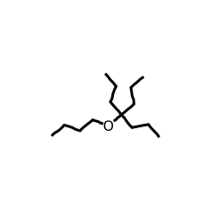 CCCCOC(CCC)(CCC)CCC